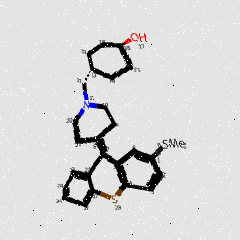 CSc1ccc2c(c1)C(=C1CCN(C[C@H]3CC[C@H](O)CC3)CC1)c1ccccc1S2